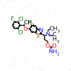 CCN(CC)C(CCOC(N)=O)c1nc2cc(F)c(OC(C)c3c(Cl)ccc(F)c3Cl)cc2s1